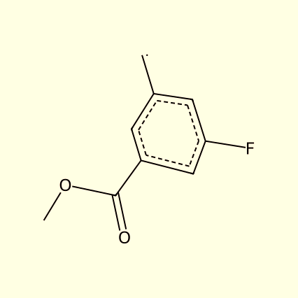 [CH2]c1cc(F)cc(C(=O)OC)c1